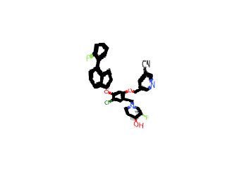 N#Cc1cncc(COc2cc(O[C@H]3CCc4c(-c5ccccc5F)cccc43)c(Cl)cc2CN2CC[C@H](O)[C@H](F)C2)c1